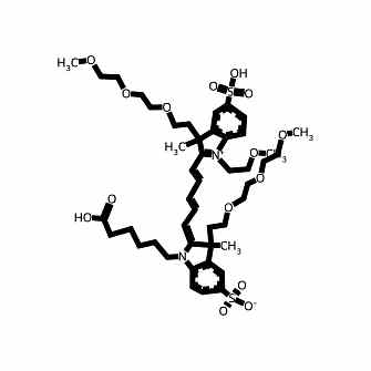 COCCOCCOCCC1(C)C(/C=C/C=C/C=C2/N(CCCCCC(=O)O)c3ccc(S(=O)(=O)[O-])cc3C2(C)CCOCCOCCOC)=[N+](CCOC)c2ccc(S(=O)(=O)O)cc21